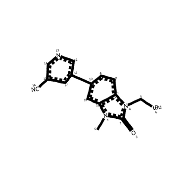 Cn1c(=O)n(CC(C)(C)C)c2ccc(-c3cncc(C#N)c3)cc21